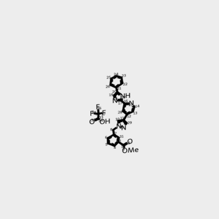 COC(=O)c1cccc(Cn2cc(-c3ccnc(-c4ncc(-c5ccccc5)[nH]4)c3)cn2)c1.O=C(O)C(F)(F)F